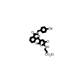 CCOC(=O)CCNc1nc(F)c(-c2nn(Cc3ccc(C#N)cc3)c(=O)c3ccccc23)cc1Cl